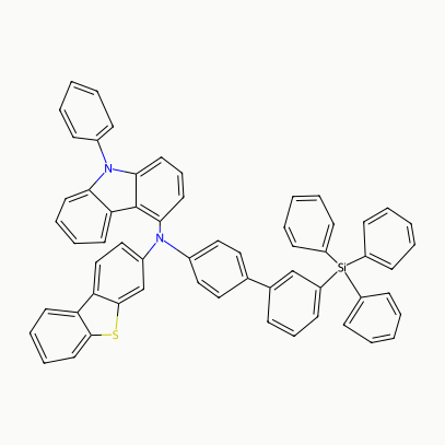 c1ccc(-n2c3ccccc3c3c(N(c4ccc(-c5cccc([Si](c6ccccc6)(c6ccccc6)c6ccccc6)c5)cc4)c4ccc5c(c4)sc4ccccc45)cccc32)cc1